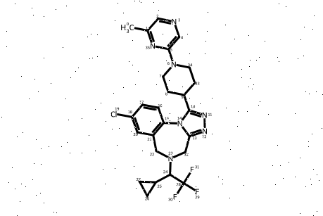 Cc1cncc(N2CCC(c3nnc4n3-c3ccc(Cl)cc3CN(C(C3CC3)C(F)(F)F)C4)CC2)n1